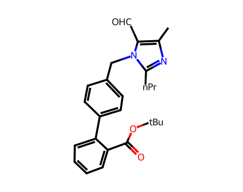 CCCc1nc(C)c(C=O)n1Cc1ccc(-c2ccccc2C(=O)OC(C)(C)C)cc1